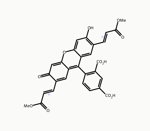 COC(=O)/C=C/c1cc2c(-c3ccc(C(=O)O)cc3C(=O)O)c3cc(/C=C/C(=O)OC)c(=O)cc-3oc2cc1O